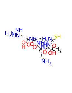 CC(O)[C@H](NC(=O)[C@@H](N)CS)C(=O)N[C@@H](CCCCN)C(=O)N1CCC[C@H]1C(=O)N[C@@H](CCCNC(=N)N)C(=O)O